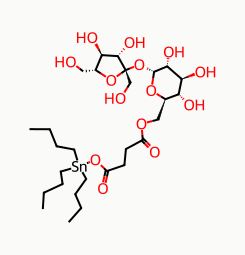 CCC[CH2][Sn]([CH2]CCC)([CH2]CCC)[O]C(=O)CCC(=O)OC[C@H]1O[C@H](O[C@]2(CO)O[C@H](CO)[C@@H](O)[C@@H]2O)[C@H](O)[C@@H](O)[C@@H]1O